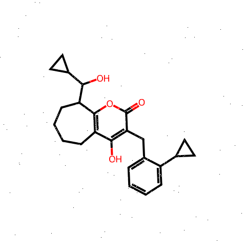 O=c1oc2c(c(O)c1Cc1ccccc1C1CC1)CCCCC2C(O)C1CC1